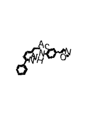 CC(=O)C(Cc1ccc(-c2ccccc2)nn1)Nc1ccc(-c2cnco2)cc1